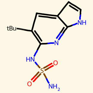 CC(C)(C)c1cc2cc[nH]c2nc1NS(N)(=O)=O